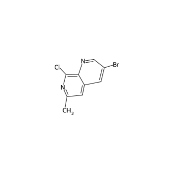 Cc1cc2cc(Br)cnc2c(Cl)n1